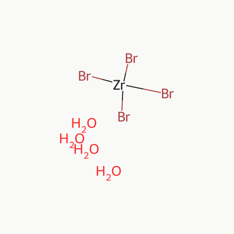 O.O.O.O.[Br][Zr]([Br])([Br])[Br]